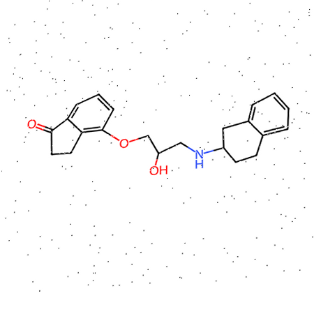 O=C1CCc2c(OCC(O)CNC3CCc4ccccc4C3)cccc21